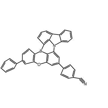 N#Cc1ccc(-c2cc3c4c(c2)-n2c5ccccc5c5cccc(c52)B4c2ccc(-c4ccccc4)cc2O3)cc1